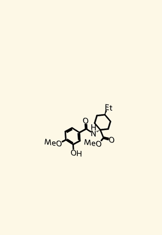 CC[C@H]1CC[C@@](NC(=O)c2ccc(OC)c(O)c2)(C(=O)OC)CC1